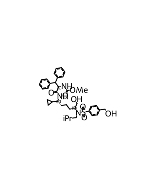 COC(=O)N[C@H](C(=O)N[C@H](CCC[C@@H](CO)N(CC(C)C)S(=O)(=O)c1ccc(CO)cc1)C1CC1)C(c1ccccc1)c1ccccc1